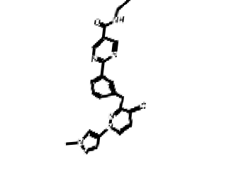 CCNC(=O)c1cnc(-c2cccc(Cc3nn(-c4cnn(C)c4)ccc3=O)c2)nc1